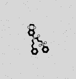 O=C(CCS(=O)(=O)c1ccccc1)N(CCCc1ccccc1)c1ccc2c(c1)OCCO2